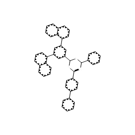 c1ccc(-c2ccc(C3=NC(c4ccccc4)NC(c4cc(-c5cccc6ccccc56)cc(-c5cccc6ccccc56)c4)N3)cc2)cc1